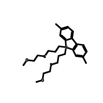 COCCSCCC[Si]1(CCCSCCOC)c2cc(C)ccc2-c2ccc(C)cc21